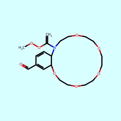 C=C(OOC)N1CCOCCOCCOCCOCCOC2C=C(C=O)C=CC21